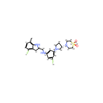 Cc1ccc(F)c2c1NC(CNc1cc(F)cc(N3CC[C@H](N4CCS(=O)(=O)CC4)C3)c1)C2